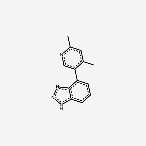 Cc1cc(C)c(-c2cccc3[nH]nnc23)cn1